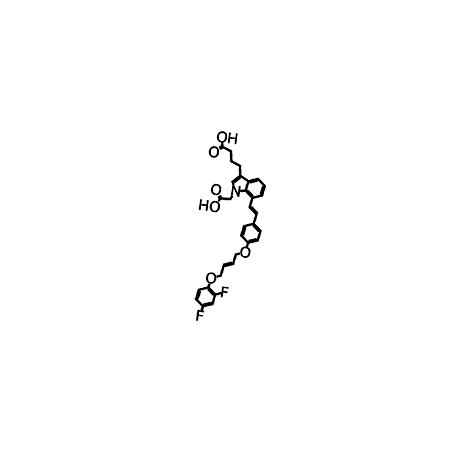 O=C(O)CCCc1cn(CC(=O)O)c2c(/C=C/c3ccc(OC/C=C/COc4ccc(F)cc4F)cc3)cccc12